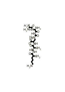 NCCCCC(N)C(=O)NNC(N)C(=O)NC(CNC(=O)NC(=O)C(N)NC(=O)C(N)N)C(N)=O